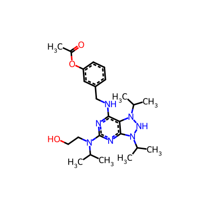 CC(=O)Oc1cccc(CNc2nc(N(CCO)C(C)C)nc3c2N(C(C)C)NN3C(C)C)c1